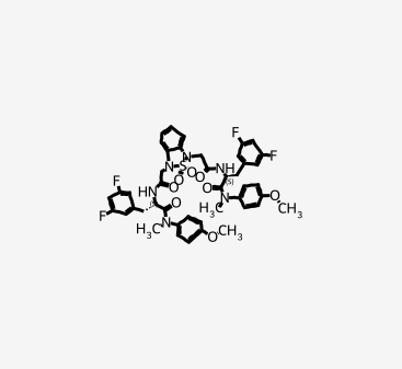 COc1ccc(N(C)C(=O)[C@H](Cc2cc(F)cc(F)c2)NC(=O)CN2c3ccccc3N(CC(=O)N[C@@H](Cc3cc(F)cc(F)c3)C(=O)N(C)c3ccc(OC)cc3)S2(=O)=O)cc1